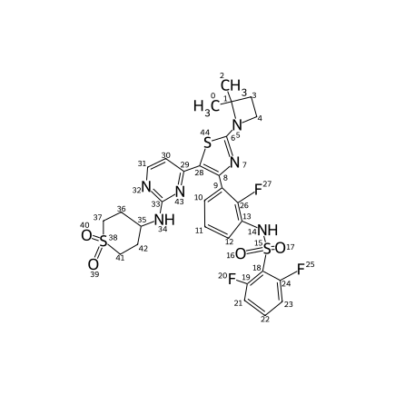 CC1(C)CCN1c1nc(-c2cccc(NS(=O)(=O)c3c(F)cccc3F)c2F)c(-c2ccnc(NC3CCS(=O)(=O)CC3)n2)s1